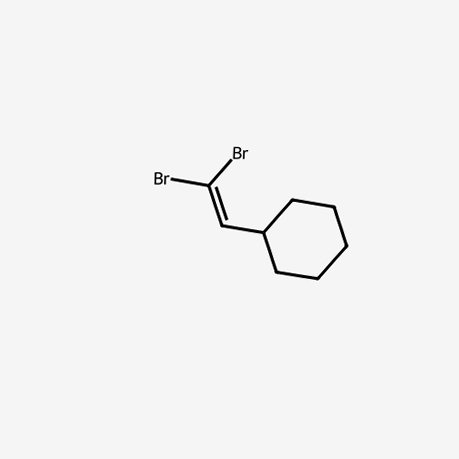 BrC(Br)=CC1CCCCC1